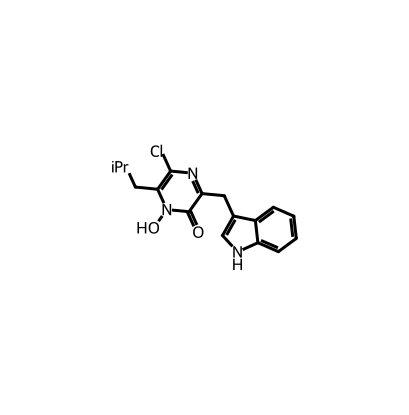 CC(C)Cc1c(Cl)nc(Cc2c[nH]c3ccccc23)c(=O)n1O